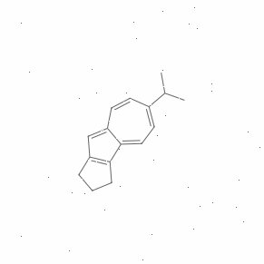 CC(C)c1ccc2cc3c(c-2cc1)CCC3